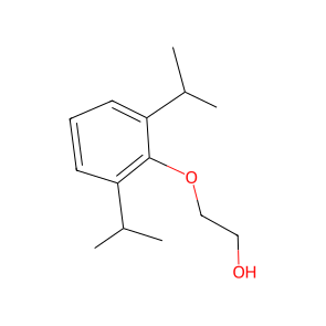 CC(C)c1cccc(C(C)C)c1OCCO